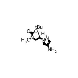 CC(CN(C)C(=O)OC(C)(C)C)n1cc(N)cn1